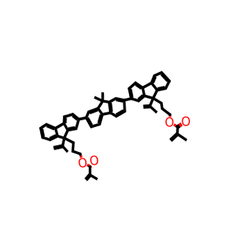 C=C(C)C(=O)OCCCC1(C(=C)C)c2ccccc2-c2ccc(-c3ccc4c(c3)C(C)(C)c3cc(-c5ccc6c(c5)C(CCCOC(=O)C(=C)C)(C(=C)C)c5ccccc5-6)ccc3-4)cc21